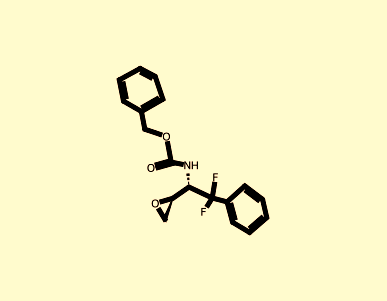 O=C(N[C@@H]([C@H]1CO1)C(F)(F)c1ccccc1)OCc1ccccc1